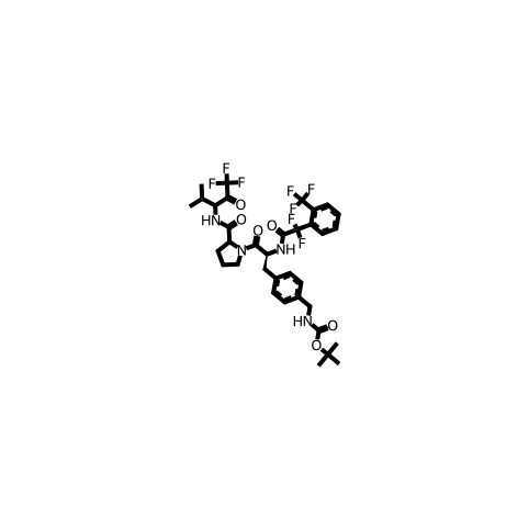 CC(C)C(NC(=O)C1CCCN1C(=O)[C@H](Cc1ccc(CNC(=O)OC(C)(C)C)cc1)NC(=O)C(F)(F)c1ccccc1C(F)(F)F)C(=O)C(F)(F)F